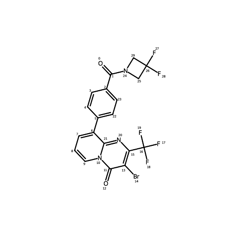 O=C(c1ccc(-c2cccn3c(=O)c(Br)c(C(F)(F)F)nc23)cc1)N1CC(F)(F)C1